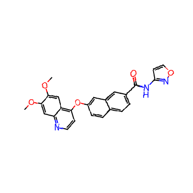 COc1cc2nccc(Oc3ccc4ccc(C(=O)Nc5ccon5)cc4c3)c2cc1OC